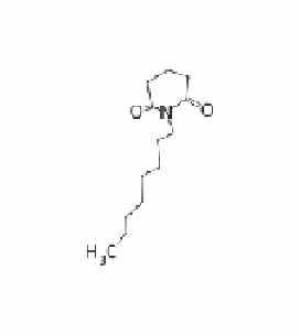 CCCCCCCCN1C(=O)CCCC1=O